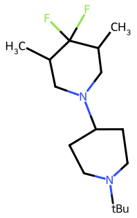 CC1CN(C2CCN(C(C)(C)C)CC2)CC(C)C1(F)F